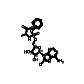 CC(NP(=O)(OC[C@H]1O[C@@H](n2c(Cl)nc3c(N)ncnc32)[C@H](O)[C@@H]1O)Oc1ccccc1)C(=O)O